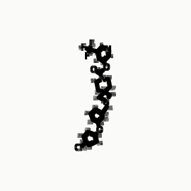 O=C(Oc1cncc(C(F)(F)F)c1)N1CCC2(CC1)CN(Cc1cccc(Oc3ccc(Cl)cc3)c1)C2